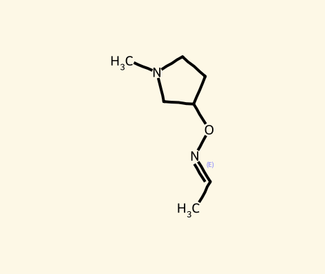 C/C=N/OC1CCN(C)C1